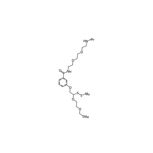 CSCOCCOC(COc1cccc(C(=O)NCCOCCOCCNC(C)C)c1)SSC(C)(C)C